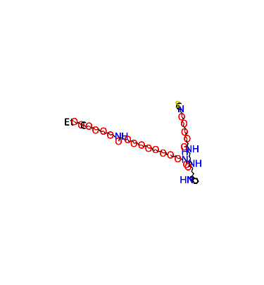 CCOCCOCCOCCOCCOCCOCCNC(=O)CCOCCOCCOCCOCCOCCOCCOCCOCCNC(=O)C(CCCCNC(=O)CCOCCOCCOCCOCCN=C=S)NC(=O)CCCc1c[nH]c2ccccc12